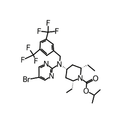 CC[C@@H]1C[C@H](N(Cc2cc(C(F)(F)F)cc(C(F)(F)F)c2)c2ncc(Br)cn2)C[C@H](CC)N1C(=O)OC(C)C